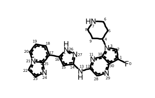 Fc1cn(C2CCNCC2)c2nc(Nc3cc(-c4cccn5ccnc45)[nH]n3)cnc12